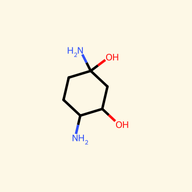 NC1CCC(N)(O)CC1O